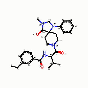 CCc1cccc(C(=O)NC(C(=O)N2CCC3(CC2)C(=O)N(C)CN3c2ccccc2)C(C)C)c1